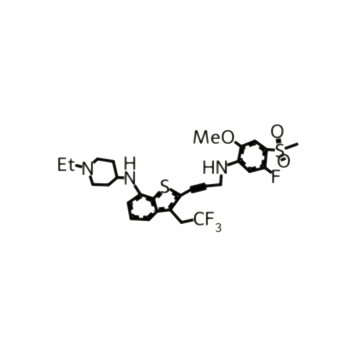 CCN1CCC(Nc2cccc3c(CC(F)(F)F)c(C#CCNc4cc(F)c(S(C)(=O)=O)cc4OC)sc23)CC1